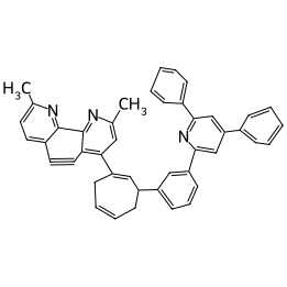 Cc1ccc2c#cc3c(C4=CC(c5cccc(-c6cc(-c7ccccc7)cc(-c7ccccc7)n6)c5)CC=CC4)cc(C)nc3c2n1